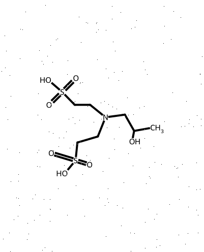 CC(O)CN(CCS(=O)(=O)O)CCS(=O)(=O)O